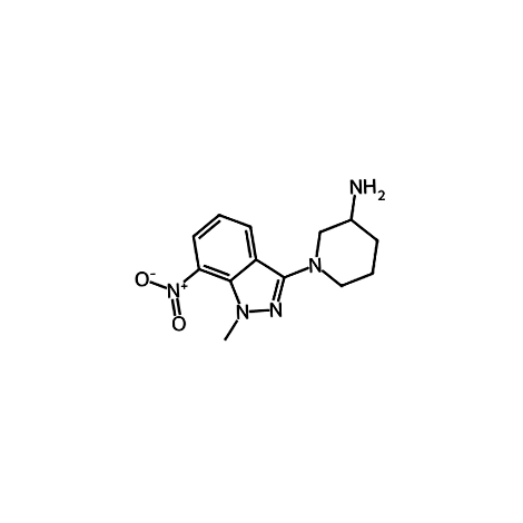 Cn1nc(N2CCCC(N)C2)c2cccc([N+](=O)[O-])c21